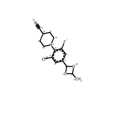 CC1OC(c2cc(F)c(N3CCC(C#N)CC3)c(Cl)c2)O1